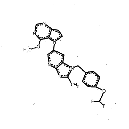 COc1ncnc2ccn(-c3cnc4nc(C)n(Cc5ccc(OC(F)F)cc5)c4c3)c12